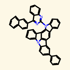 c1ccc(-c2ccc3c(c2)c2cc4c5ccccc5n(-c5nc(-c6ccc7ccccc7c6)c6ccccc6n5)c4c4c5ccccc5n3c24)cc1